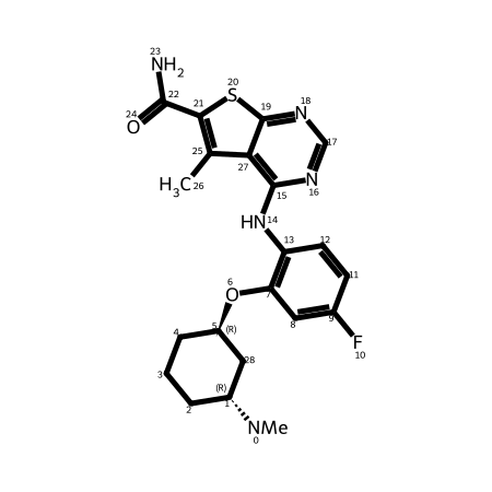 CN[C@@H]1CCC[C@@H](Oc2cc(F)ccc2Nc2ncnc3sc(C(N)=O)c(C)c23)C1